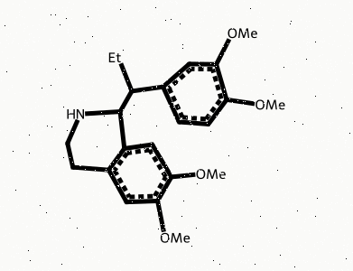 CCC(c1ccc(OC)c(OC)c1)C1NCCc2cc(OC)c(OC)cc21